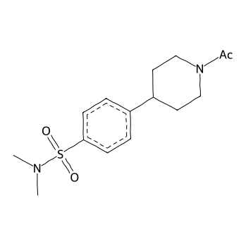 CC(=O)N1CCC(c2ccc(S(=O)(=O)N(C)C)cc2)CC1